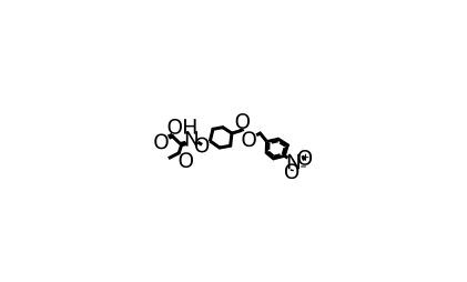 CC(=O)/C(=N\OC1CCC(C(=O)OCc2ccc([N+](=O)[O-])cc2)CC1)C(=O)O